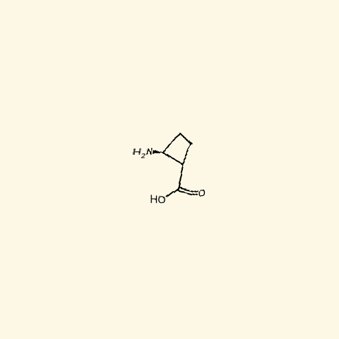 N[C@H]1CCC1C(=O)O